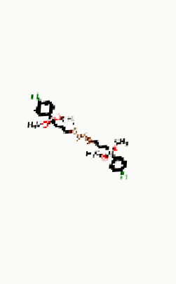 CO[Si](CCCSSSSCCC[Si](OC)(OC)c1ccc(Cl)cc1)(OC)c1ccc(Cl)cc1